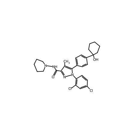 Cc1c(C(=O)NN2CCCCC2)nn(-c2ccc(Cl)cc2Cl)c1-c1ccc(C2(O)CCCCC2)cc1